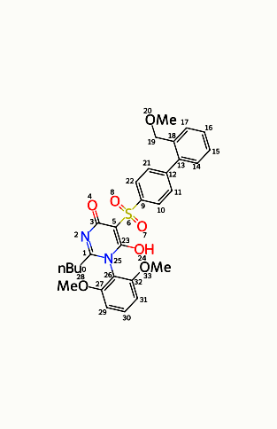 CCCCc1nc(=O)c(S(=O)(=O)c2ccc(-c3ccccc3COC)cc2)c(O)n1-c1c(OC)cccc1OC